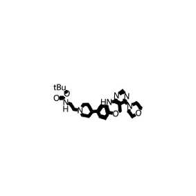 CC(C)(C)OC(=O)NCCN1CCC(c2ccc3c(c2)Nc2ncnc(N4CCOCC4)c2CO3)CC1